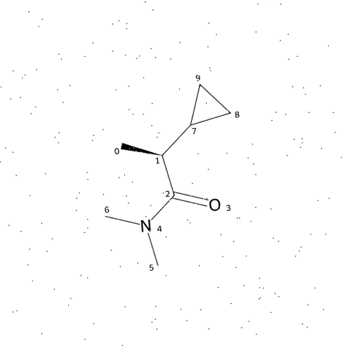 C[C@H](C(=O)N(C)C)C1CC1